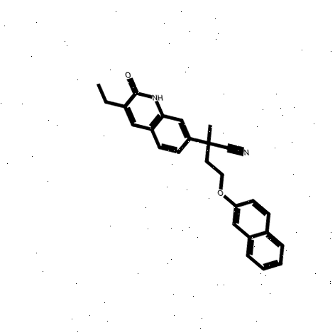 CCc1cc2ccc(C(C)(C#N)CCOc3ccc4ccccc4c3)cc2[nH]c1=O